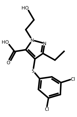 CCc1nn(CCO)c(C(=O)O)c1Sc1cc(Cl)cc(Cl)c1